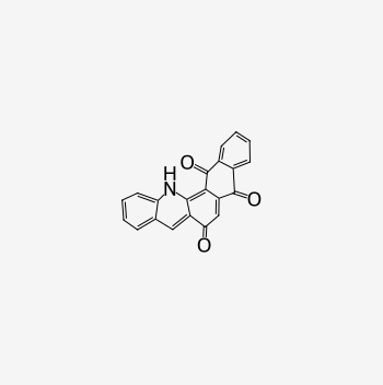 O=C1c2ccccc2C(=O)c2c1cc(=O)c1cc3ccccc3[nH]c2-1